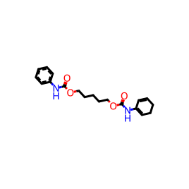 O=C(NC1=CCCC=C1)OCCCCCOC(=O)Nc1ccccc1